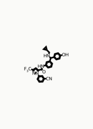 N#Cc1cccc(-n2nc(C(F)(F)F)cc2C(=O)Nc2cccc(C(NCC3CC3)c3ccc(O)cc3)c2)c1